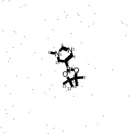 CN1C=NC=C(B2OC(C)(C)C(C)(C)O2)C1